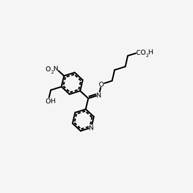 O=C(O)CCCCO/N=C(/c1cccnc1)c1ccc([N+](=O)[O-])c(CO)c1